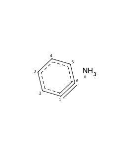 N.c1ccccc#1